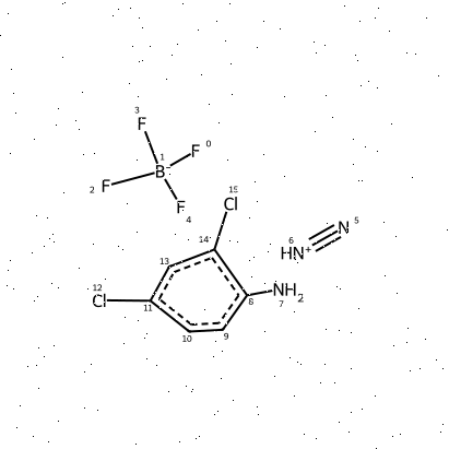 F[B-](F)(F)F.N#[NH+].Nc1ccc(Cl)cc1Cl